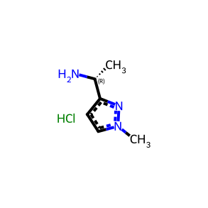 C[C@@H](N)c1ccn(C)n1.Cl